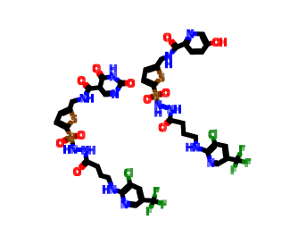 O=C(CCCNc1ncc(C(F)(F)F)cc1Cl)NNS(=O)(=O)c1ccc(CNC(=O)C2C=NC(=O)NC2=O)s1.O=C(CCCNc1ncc(C(F)(F)F)cc1Cl)NNS(=O)(=O)c1ccc(CNC(=O)c2ccc(O)cn2)s1